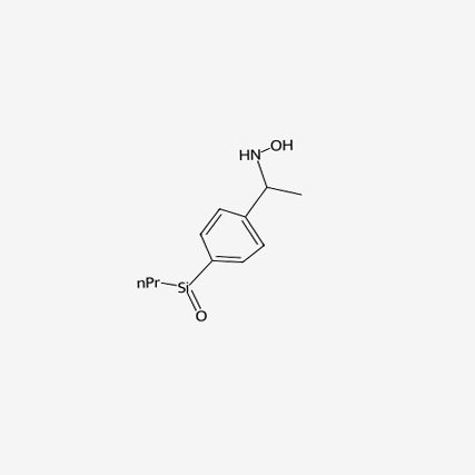 CCC[Si](=O)c1ccc(C(C)NO)cc1